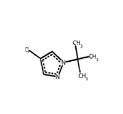 CC(C)(C)n1cc(Cl)cn1